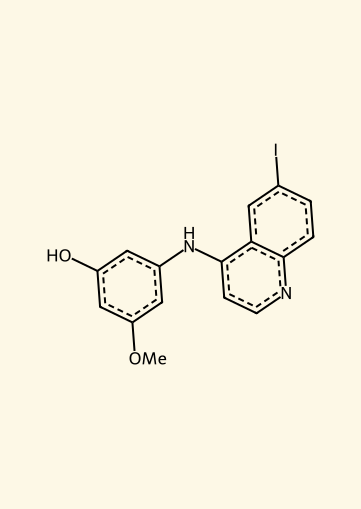 COc1cc(O)cc(Nc2ccnc3ccc(I)cc23)c1